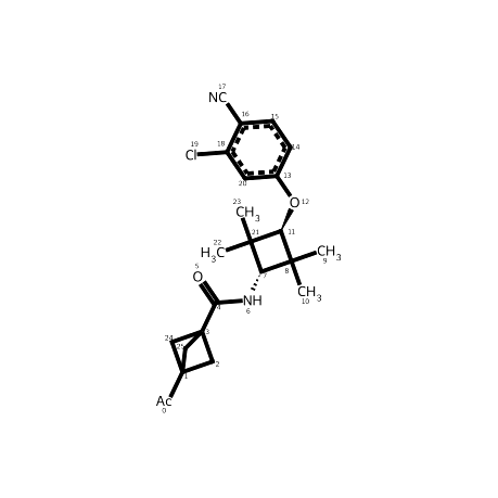 CC(=O)C12CC(C(=O)N[C@H]3C(C)(C)[C@H](Oc4ccc(C#N)c(Cl)c4)C3(C)C)(C1)C2